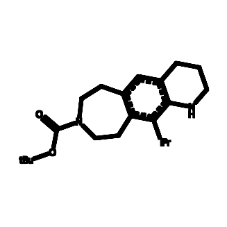 CC(C)c1c2c(cc3c1NCCC3)CCN(C(=O)OC(C)(C)C)CC2